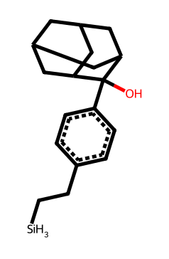 OC1(c2ccc(CC[SiH3])cc2)C2CC3CC(C2)CC1C3